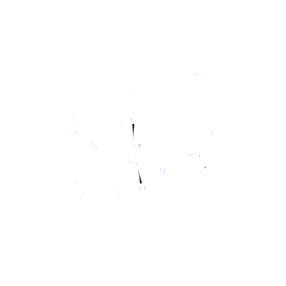 CC(=O)N1c2ccccc2[C@@H]2[C@@H](CCN2C(=O)[C@H]2CCCC[C@H]2NC(=O)c2ccccc2)[C@H]1C1=CCCC=C1